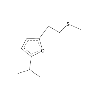 CSCCc1ccc(C(C)C)o1